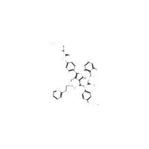 COONC(=O)Nc1ccc(-c2sc3c(c2CN(C)CCc2ccccn2)c(=O)n(-c2ccc(OC)cc2)c(=O)n3Cc2c(F)cccc2F)cc1